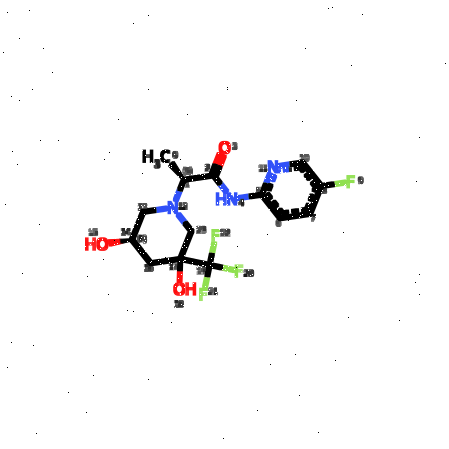 C[C@@H](C(=O)Nc1ccc(F)cn1)N1C[C@H](O)CC(O)(C(F)(F)F)C1